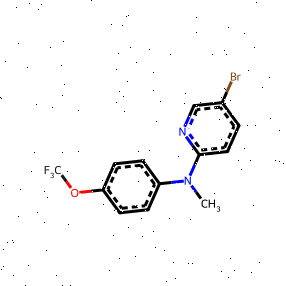 CN(c1ccc(OC(F)(F)F)cc1)c1ccc(Br)cn1